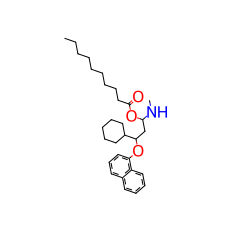 CCCCCCCCCC(=O)OC(CC(Oc1cccc2ccccc12)C1CCCCC1)NC